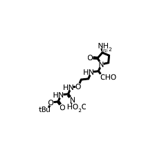 CC(C)(C)OC(=O)NC(=NC(=O)O)NOCCNC(C=O)N1CC[C@H](N)C1=O